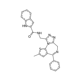 Cc1cc2c(s1)-n1c(nnc1CNC(=O)c1cc3ccccc3[nH]1)CN=C2c1ccccc1